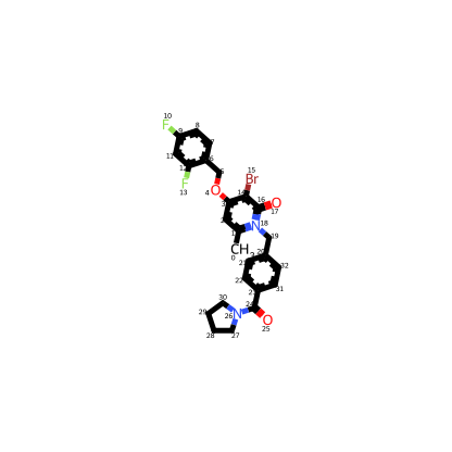 Cc1cc(OCc2ccc(F)cc2F)c(Br)c(=O)n1Cc1ccc(C(=O)N2CCCC2)cc1